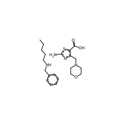 CCCCCNCc1ccccc1.Nc1nc(CN2CCOCC2)c(C(=O)O)s1